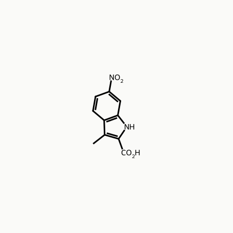 Cc1c(C(=O)O)[nH]c2cc([N+](=O)[O-])ccc12